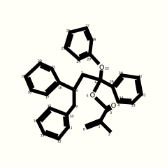 C=C(C)C(=O)OC(CC(Cc1ccccc1)c1ccccc1)(Oc1ccccc1)c1ccccc1